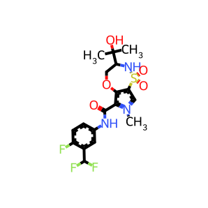 Cn1cc2c(c1C(=O)Nc1ccc(F)c(C(F)F)c1)OCC(C(C)(C)O)NS2(=O)=O